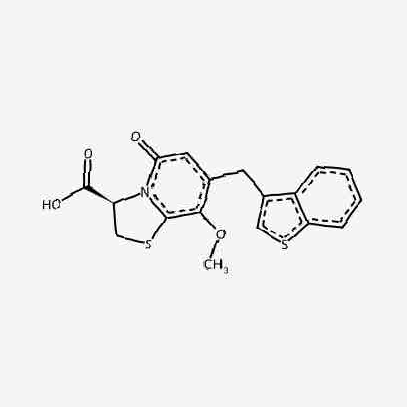 COc1c(Cc2csc3ccccc23)cc(=O)n2c1SC[C@H]2C(=O)O